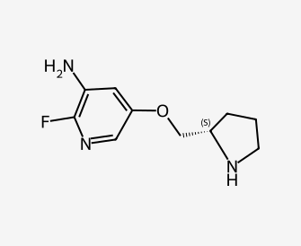 Nc1cc(OC[C@@H]2CCCN2)cnc1F